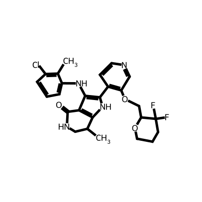 Cc1c(Cl)cccc1Nc1c(-c2ccncc2OCC2OCCCC2(F)F)[nH]c2c1C(=O)NCC2C